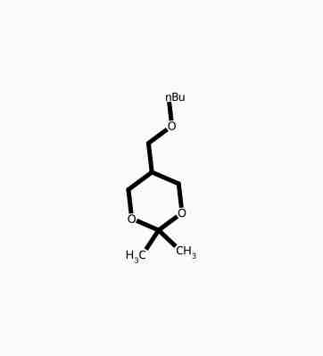 CCCCOCC1COC(C)(C)OC1